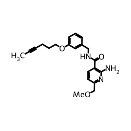 CC#CCCCOc1cccc(CNC(=O)c2ccc(COC)nc2N)c1